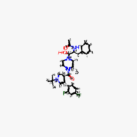 CC(=O)N[C@@H](CC1CCCCC1)C(O)N1CCN(C(=O)[C@@H]2CN(C(C)(C)C)C[C@H]2c2ccc(F)cc2F)[C@@H](C)C1